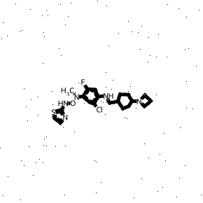 CN(ONc1nccs1)c1cc(Cl)c(NCC2CCC(N3CCC3)CC2)cc1F